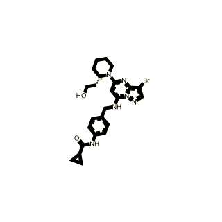 O=C(Nc1ccc(CNc2cc(N3CCCC[C@H]3CCO)nc3c(Br)cnn23)cc1)C1CC1